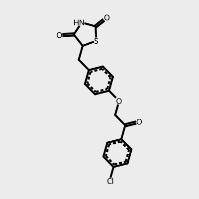 O=C1NC(=O)C(Cc2ccc(OCC(=O)c3ccc(Cl)cc3)cc2)S1